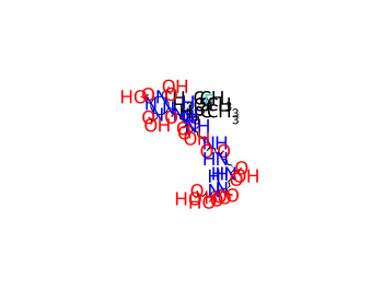 CC(C)(C)[Si](F)(c1ccc(C(=O)N[C@H](CNC(=O)CN2CCN(CC(=O)O)CCN(CC(=O)O)CCN(CC(=O)O)CC2)C(=O)N[C@@H](CCCCNC(=O)CCC(=O)NCCC[C@@H](NC(=O)CC[C@H](NC(=O)N[C@@H](CCC(=O)O)C(=O)O)C(=O)O)C(=O)O)C(=O)O)cc1)C(C)(C)C